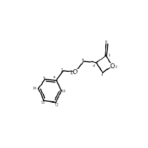 C=C1OCC1COCc1ccccc1